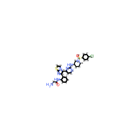 NCC(=O)Nc1ccccc1-c1nc2sccn2c1-c1ccnc(N[C@@H]2CCCN([S+]([O-])c3ccc(Cl)cc3)C2)n1